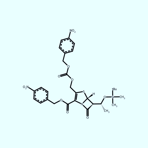 C[C@@H](O[Si](C)(C)C(C)(C)C)[C@H]1C(=O)N2C(C(=O)OCc3ccc([N+](=O)[O-])cc3)=C(COC(=O)OCc3ccc([N+](=O)[O-])cc3)S[C@H]12